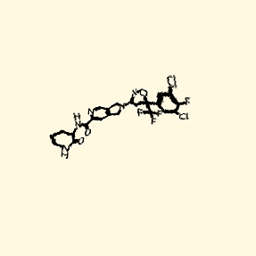 O=C(NC1CCCNC1=O)c1cc2c(cn1)CN(C1=NOC(c3cc(Cl)c(F)c(Cl)c3)(C(F)(F)F)C1)C2